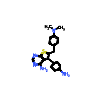 CN(C)c1ccc(Cc2sc3ncnc(N)c3c2-c2ccc(N)cc2)cc1